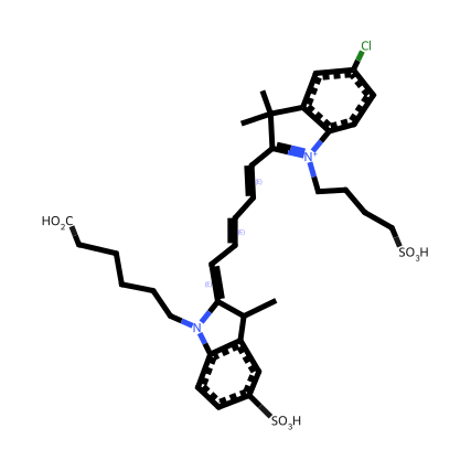 CC1\C(=C/C=C/C=C/C2=[N+](CCCCS(=O)(=O)O)c3ccc(Cl)cc3C2(C)C)N(CCCCCC(=O)O)c2ccc(S(=O)(=O)O)cc21